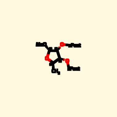 CCCCCO[C@H]1[C@@H](OC)O[C@H](C)[C@H]1OCCCCC